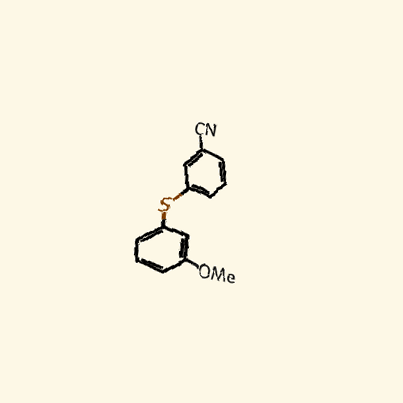 COc1cccc(Sc2cccc(C#N)c2)c1